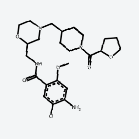 COc1cc(N)c(Cl)cc1C(=O)NCC1CN(CC2CCN(C(=O)C3CCCO3)CC2)CCO1